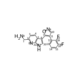 NCc1ccc2c(-c3oncc3-c3cccc(F)c3F)c[nH]c2n1